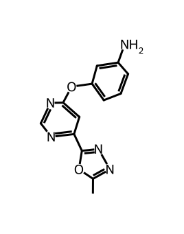 Cc1nnc(-c2cc(Oc3cccc(N)c3)ncn2)o1